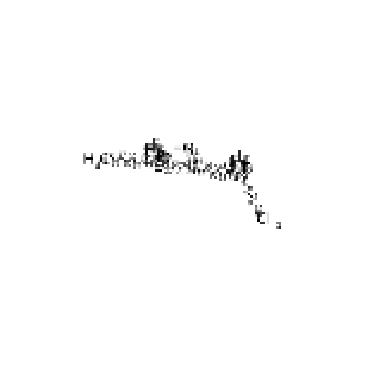 CCCCCCCCCC(OC(=O)CCCCCN(CCCO)CCCCCC(=O)OC(CCCCCCCCC)C(F)(F)C(F)(F)F)C(F)(F)C(F)(F)F